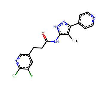 Cc1c(-c2ccncc2)n[nH]c1NC(=O)CCc1cnc(Cl)c(F)c1